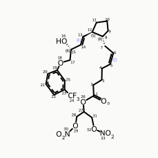 O=C(CCC/C=C\C[C@H]1CCC[C@@H]1/C=C/[C@@H](O)COc1cccc(C(F)(F)F)c1)OC(CO[N+](=O)[O-])CO[N+](=O)[O-]